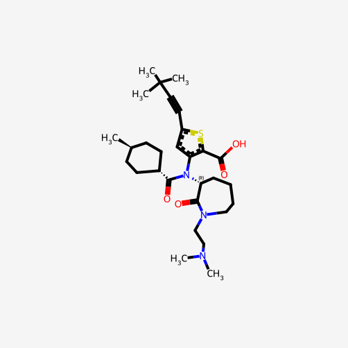 CN(C)CCN1CCCC[C@@H](N(c2cc(C#CC(C)(C)C)sc2C(=O)O)C(=O)[C@H]2CC[C@H](C)CC2)C1=O